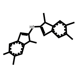 Cc1cc2c(cc1C)C(C)[C]([Hf][C]1=Cc3cc(C)c(C)cc3C1C)=C2